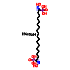 O=P(O)(O)/C(CCCCCCCCCCCCCCCC/C(=N/O)P(=O)(O)O)=N\O.[NaH].[NaH]